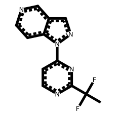 CC(F)(F)c1nccc(-n2ncc3cnccc32)n1